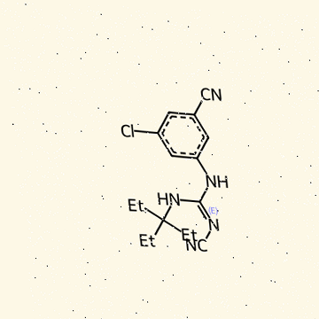 CCC(CC)(CC)N/C(=N\C#N)Nc1cc(Cl)cc(C#N)c1